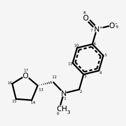 CN(Cc1ccc([N+](=O)[O-])cc1)C[C@@H]1CCCO1